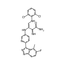 Cc1c(F)ccc2nnc(-c3ccc(N/C(=C/Nc4c(Cl)cccc4Cl)C(=N)C(N)=O)cn3)n12